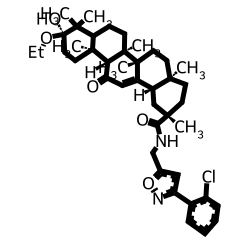 CCO[C@]1(O)CC[C@@]2(C)C(CC[C@]3(C)[C@@H]2C(=O)C=C2[C@H]4C[C@@](C)(C(=O)NCc5cc(-c6ccccc6Cl)no5)CC[C@]4(C)CC[C@]23C)C1(C)C